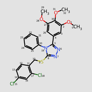 COc1cc(-c2nnc(SCc3ccc(Cl)cc3Cl)n2-c2ccccc2)cc(OC)c1OC